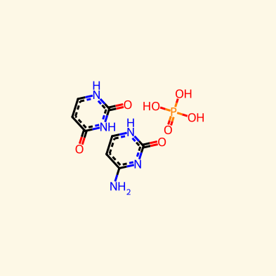 Nc1cc[nH]c(=O)n1.O=P(O)(O)O.O=c1cc[nH]c(=O)[nH]1